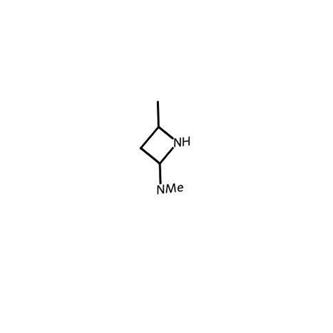 CNC1CC(C)N1